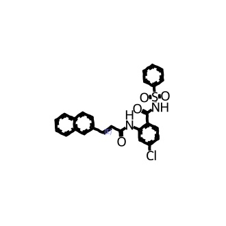 O=C(/C=C/c1ccc2ccccc2c1)Nc1cc(Cl)ccc1C(=O)NS(=O)(=O)c1ccccc1